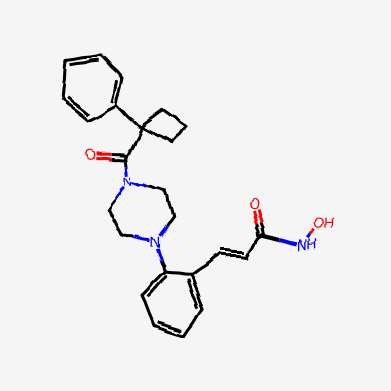 O=C(C=Cc1ccccc1N1CCN(C(=O)C2(c3ccccc3)CCC2)CC1)NO